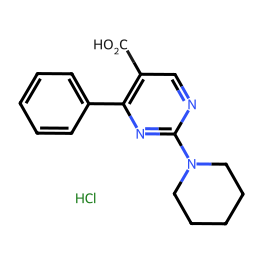 Cl.O=C(O)c1cnc(N2CCCCC2)nc1-c1ccccc1